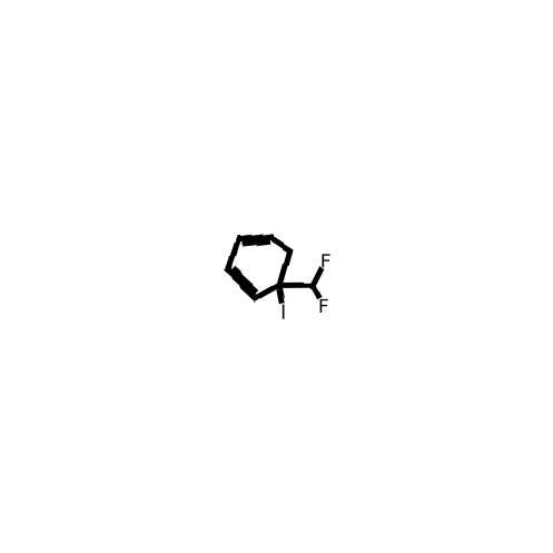 FC(F)C1(I)C=CC=CC1